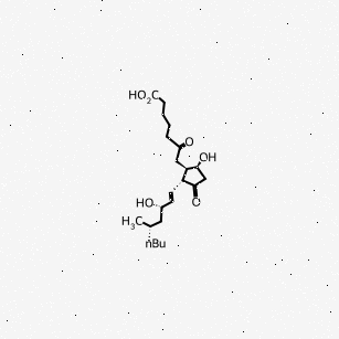 CCCC[C@H](C)C[C@H](O)/C=C/[C@H]1C(=O)C[C@H](O)[C@@H]1CC(=O)CCCCC(=O)O